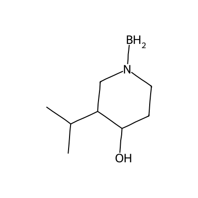 BN1CCC(O)C(C(C)C)C1